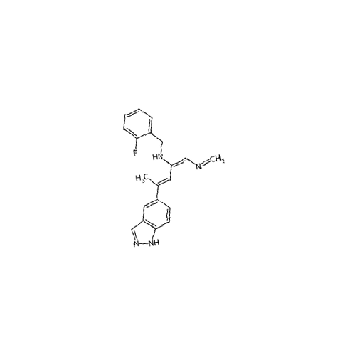 C=N/C=C(\C=C(/C)c1ccc2[nH]ncc2c1)NCc1ccccc1F